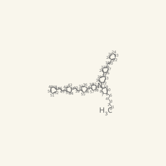 CCCCCCc1ccc(N(c2ccc(-c3ccc(C=Cc4ccccc4)cc3)cc2)c2ccc(-c3ccc(C=Cc4ccc(C=Cc5ccccc5)cc4)cc3)cc2)cc1